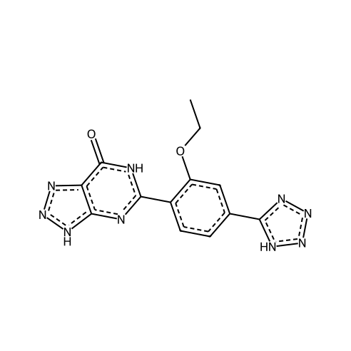 CCOc1cc(-c2nnn[nH]2)ccc1-c1nc2[nH]nnc2c(=O)[nH]1